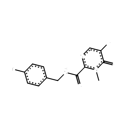 Cn1c(C(=O)NCc2ccc(F)cc2)ncc(O)c1=O